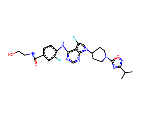 CC(C)c1noc(N2CCC(n3cc(F)c4c(Nc5ccc(C(=O)NCCO)cc5F)ncnc43)CC2)n1